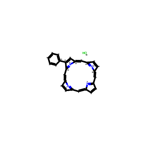 C1=CC2=NC1=CC1=NC(=CC3=NC(=CC4=NC(=C2)C=C4)C=C3c2ccccc2)C=C1.Cl